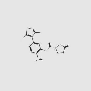 Cc1noc(C)c1-c1ccc([N+](=O)[O-])c(NC(=O)[C@@H]2CCC(=O)N2)c1